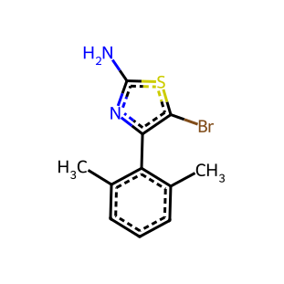 Cc1cccc(C)c1-c1nc(N)sc1Br